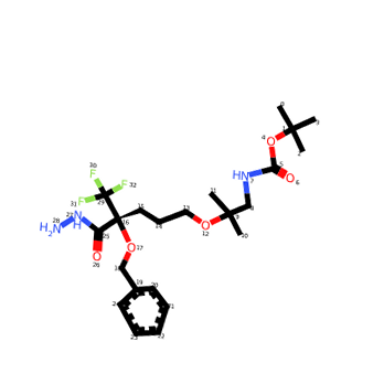 CC(C)(C)OC(=O)NCC(C)(C)OCCC[C@@](OCc1ccccc1)(C(=O)NN)C(F)(F)F